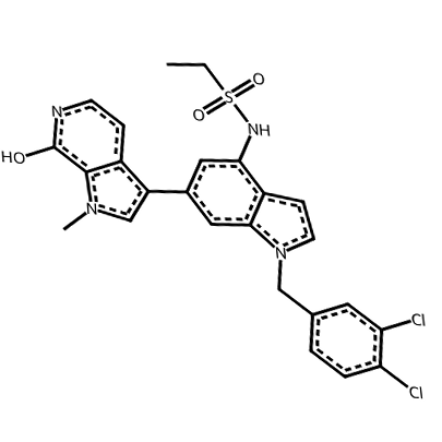 CCS(=O)(=O)Nc1cc(-c2cn(C)c3c(O)nccc23)cc2c1ccn2Cc1ccc(Cl)c(Cl)c1